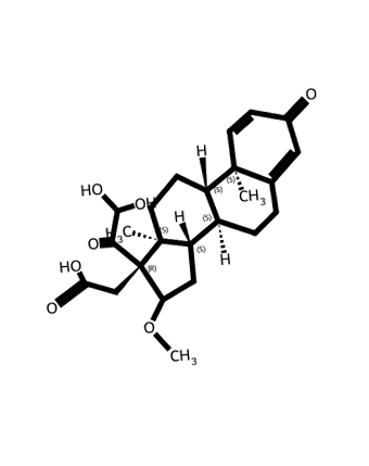 COC1C[C@H]2[C@@H]3CCC4=CC(=O)C=C[C@]4(C)[C@H]3CC[C@]2(C)[C@@]1(CC(=O)O)C(=O)C(O)O